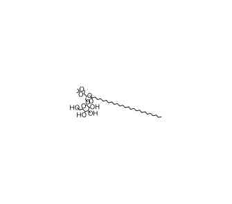 CCCCCCCCCCCCCCCCCCCCCCCCCC(=O)O[C@@H](COC1OC(CO)C(O)C(O)C1O)[C@@H]1OC(C)(C)O[C@@H]1C